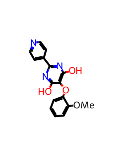 COc1ccccc1Oc1c(O)nc(-c2ccncc2)nc1O